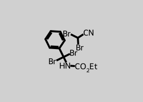 CCOC(=O)NC(Br)(Br)c1ccccc1.N#CC(Br)Br